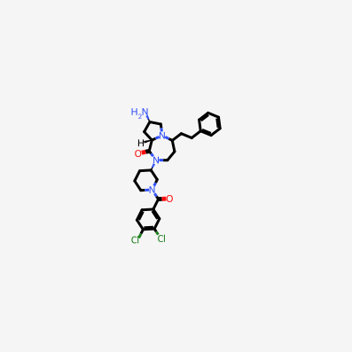 N[C@@H]1C[C@H]2C(=O)N([C@@H]3CCCN(C(=O)c4ccc(Cl)c(Cl)c4)C3)CCC(CCc3ccccc3)N2C1